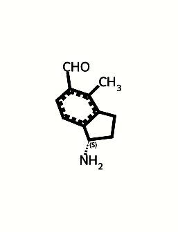 Cc1c(C=O)ccc2c1CC[C@@H]2N